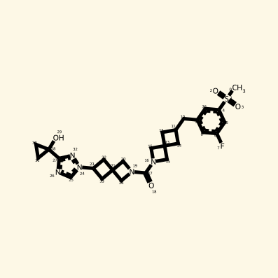 CS(=O)(=O)c1cc(F)cc(CC2CC3(C2)CN(C(=O)N2CC4(CC(n5cnc(C6(O)CC6)n5)C4)C2)C3)c1